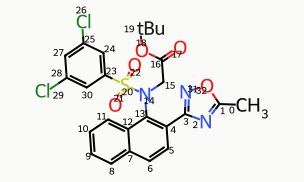 Cc1nc(-c2ccc3ccccc3c2N(CC(=O)OC(C)(C)C)S(=O)(=O)c2cc(Cl)cc(Cl)c2)no1